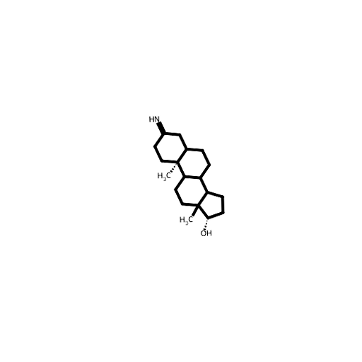 CC12CCC3C(CCC4CC(=N)CC[C@@]43C)C1CC[C@@H]2O